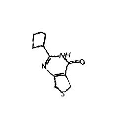 O=c1[nH]c(C2CCC2)nc2c1CSC2